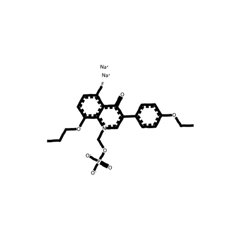 CCCOc1ccc(F)c2c(=O)c(-c3ccc(OCC)cc3)cn(COP(=O)([O-])[O-])c12.[Na+].[Na+]